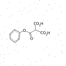 O=C(O)C(C(=O)O)C(=O)Oc1ccccc1